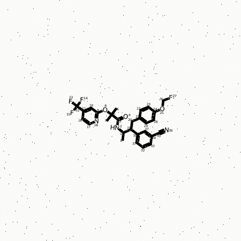 CC(NC(=O)C(C)(C)Oc1cc(C(F)(F)F)ccn1)C(Cc1ccc(OCF)cc1)c1cccc(C#N)c1